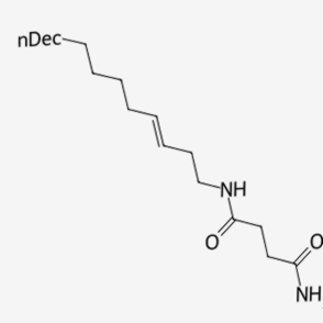 CCCCCCCCCCCCCCC=CCCNC(=O)CCC(N)=O